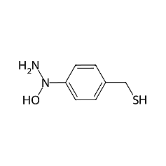 NN(O)c1ccc(CS)cc1